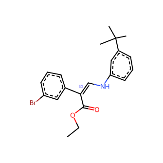 CCOC(=O)/C(=C\Nc1cccc(C(C)(C)C)c1)c1cccc(Br)c1